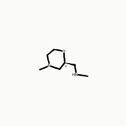 CNC[C@H]1CN(C)CCO1